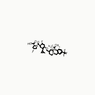 CC(C)Nc1ccc(C(F)(F)F)cc1CN1CCC(COc2cc(F)c(C(=O)N3C[C@H](F)C[C@H]3C(=O)O)cc2C2CC2)CC1